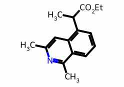 CCOC(=O)C(C)c1cccc2c(C)nc(C)cc12